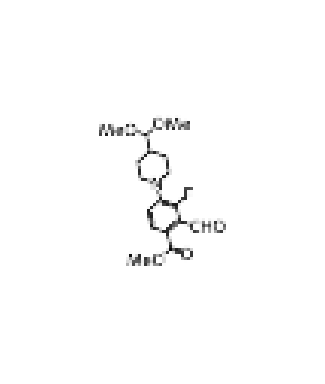 COC(=O)c1ccc(N2CCC(C(OC)OC)CC2)c(F)c1C=O